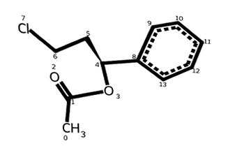 CC(=O)O[C@@H](CCCl)c1ccccc1